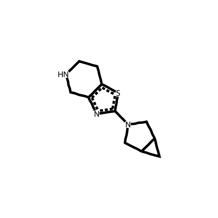 C1Cc2sc(N3CC4CC4C3)nc2CN1